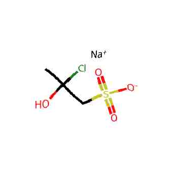 CC(O)(Cl)CS(=O)(=O)[O-].[Na+]